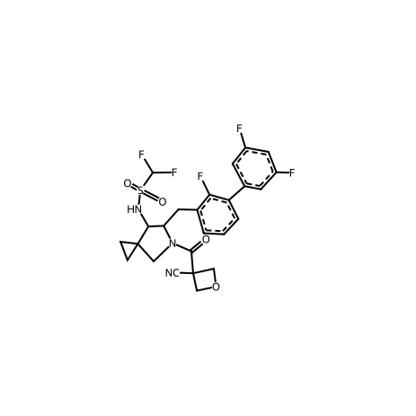 N#CC1(C(=O)N2CC3(CC3)C(NS(=O)(=O)C(F)F)C2Cc2cccc(-c3cc(F)cc(F)c3)c2F)COC1